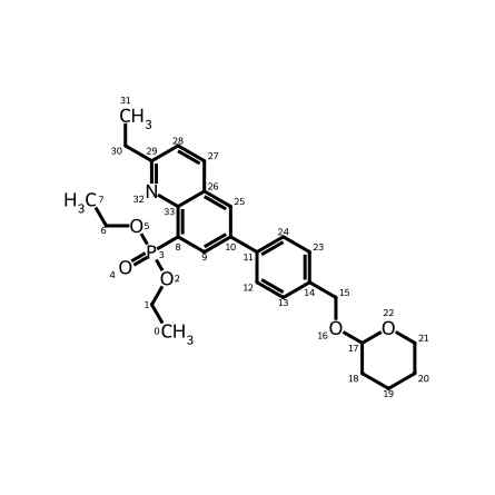 CCOP(=O)(OCC)c1cc(-c2ccc(COC3CCCCO3)cc2)cc2ccc(CC)nc12